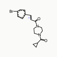 O=C(/C=C/c1ccc(Br)cc1)N1CCN(C(=O)C2CC2)CC1